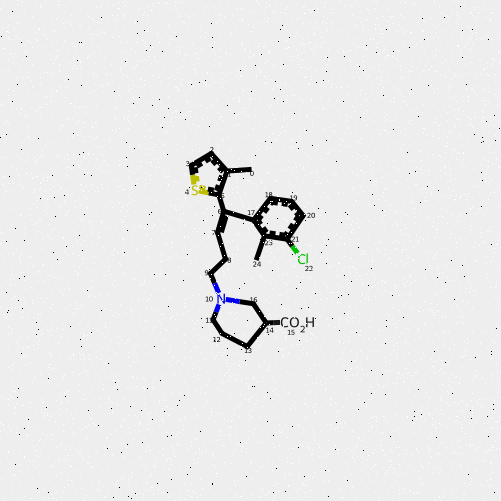 Cc1ccsc1C(=CCCN1CCCC(C(=O)O)C1)c1cccc(Cl)c1C